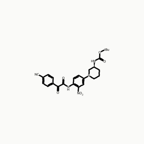 CC(C)(C)OC(=O)N[C@H]1CCCN(c2ccc(NC(=O)C(=O)c3ccc(C#N)cc3)c([N+](=O)[O-])c2)C1